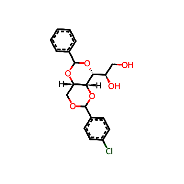 OC[C@@H](O)[C@H]1OC(c2ccccc2)O[C@H]2COC(c3ccc(Cl)cc3)O[C@@H]12